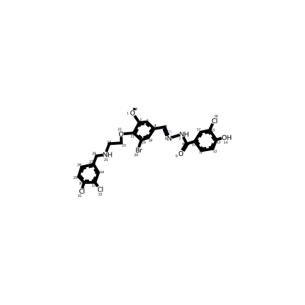 COc1cc(/C=N/NC(=O)c2ccc(O)c(Cl)c2)cc(Br)c1OCCNCc1ccc(Cl)c(Cl)c1